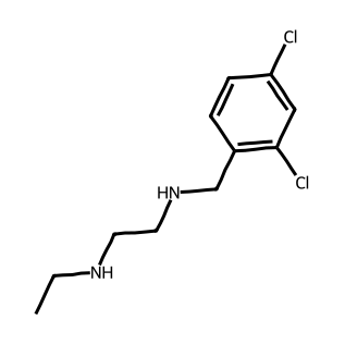 CCNCCNCc1ccc(Cl)cc1Cl